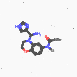 CCN(C(=O)NC)c1ccc2c(c1)N(C(N)c1c[nH]cn1)CCO2